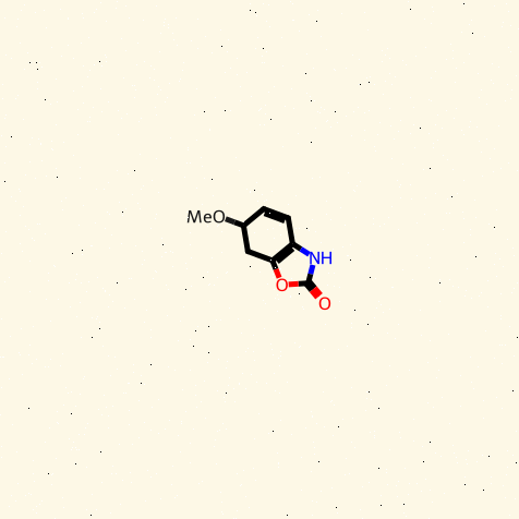 COC1C=Cc2[nH]c(=O)oc2C1